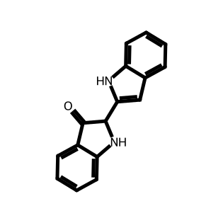 O=C1c2ccccc2NC1c1cc2ccccc2[nH]1